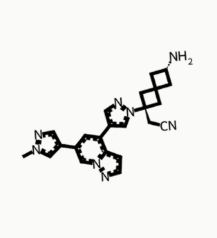 Cn1cc(-c2cc(-c3cnn([C@]4(CC#N)CC5(C[C@H](N)C5)C4)c3)c3ccnn3c2)cn1